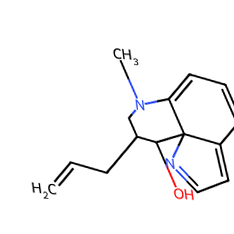 C=CCC1CN(C)C2=CC=CC3=CC=NC32C1O